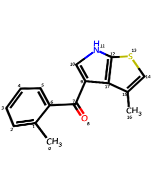 Cc1ccccc1C(=O)c1c[nH]c2scc(C)c12